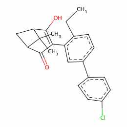 CCc1ccc(-c2ccc(Cl)cc2)cc1C1=C(O)C2CC(C1=O)C2(C)C